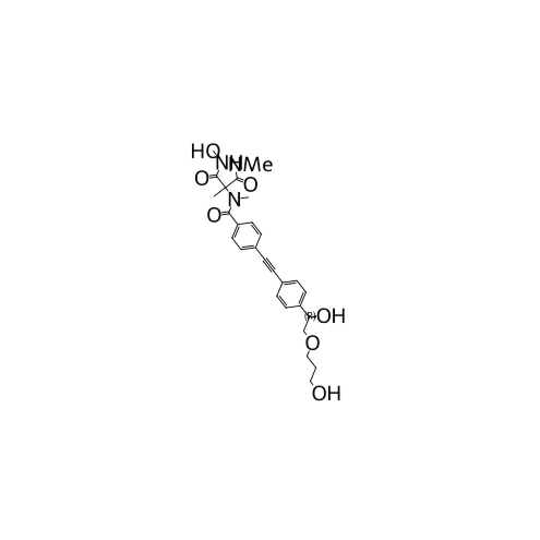 CNC(=O)C(C)(C(=O)NO)N(C)C(=O)c1ccc(C#Cc2ccc([C@@H](O)COCCCO)cc2)cc1